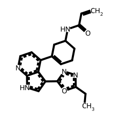 C=CC(=O)NC1CCC=C(c2ccnc3[nH]cc(-c4nnc(CC)o4)c23)C1